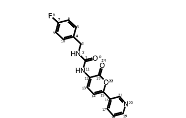 O=C(NCc1ccc(F)cc1)Nc1ccc(-c2cccnc2)oc1=O